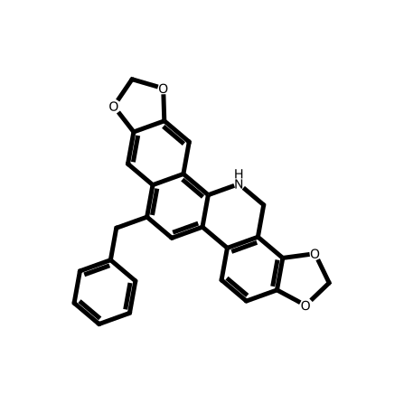 c1ccc(Cc2cc3c(c4cc5c(cc24)OCO5)NCc2c-3ccc3c2OCO3)cc1